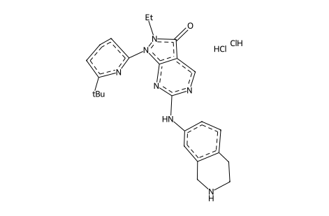 CCn1c(=O)c2cnc(Nc3ccc4c(c3)CNCC4)nc2n1-c1cccc(C(C)(C)C)n1.Cl.Cl